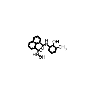 Cc1cccc(NC(=O)c2cccc3cccc(C(=O)NO)c23)c1O